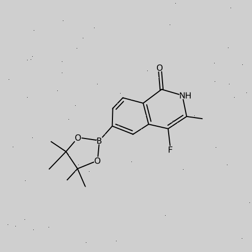 Cc1[nH]c(=O)c2ccc(B3OC(C)(C)C(C)(C)O3)cc2c1F